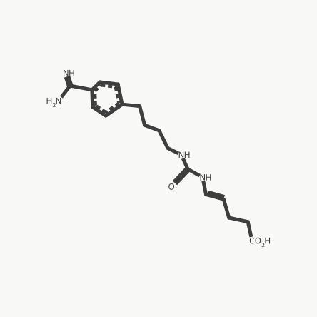 N=C(N)c1ccc(CCCCNC(=O)NC=CCCC(=O)O)cc1